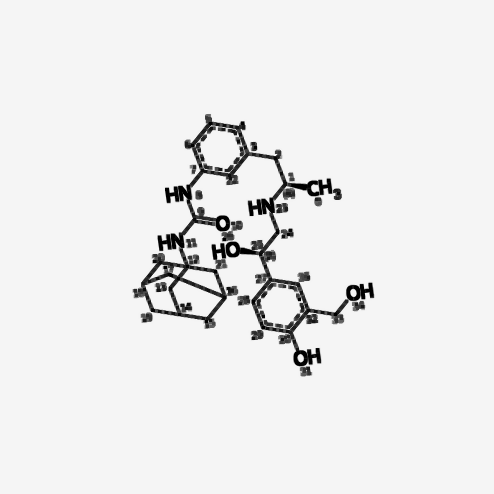 C[C@H](Cc1cccc(NC(=O)NC23CC4CC(CC(C4)C2)C3)c1)NC[C@H](O)c1ccc(O)c(CO)c1